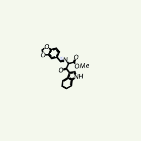 COC(=O)C(/N=C/c1ccc2c(c1)OCO2)C(=O)c1c[nH]c2c1=CCCC=2